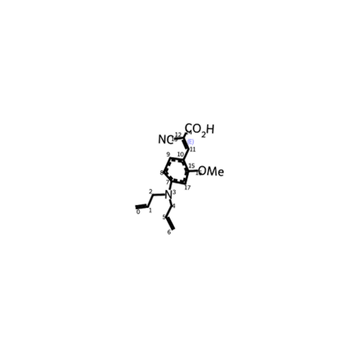 C=CCN(CC=C)c1ccc(/C=C(\C#N)C(=O)O)c(OC)c1